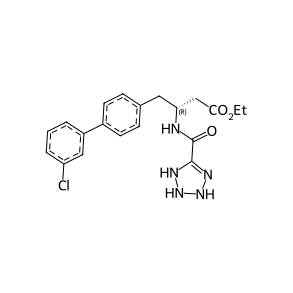 CCOC(=O)C[C@@H](Cc1ccc(-c2cccc(Cl)c2)cc1)NC(=O)C1=NNNN1